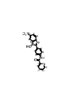 O=C(Nc1ccc(-c2nc3ccc([N+](=O)[O-])cc3n2O)cc1)c1ccccn1